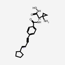 NC1([C@H](NC(=O)c2ccc(C#C/C=C/C3CCCC3)cc2)C(=O)NO)CC1